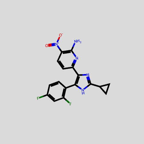 Nc1nc(-c2nc(C3CC3)[nH]c2-c2ccc(F)cc2F)ccc1[N+](=O)[O-]